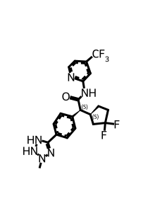 CN1N=C(c2ccc([C@@H](C(=O)Nc3cc(C(F)(F)F)ccn3)[C@H]3CCC(F)(F)C3)cc2)NN1